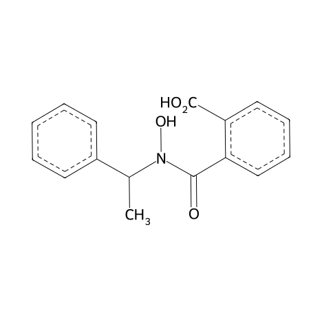 CC(c1ccccc1)N(O)C(=O)c1ccccc1C(=O)O